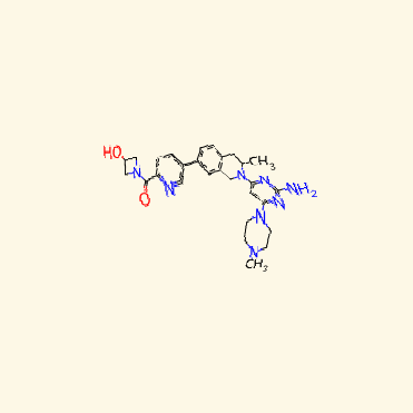 CC1Cc2ccc(-c3ccc(C(=O)N4CC(O)C4)nc3)cc2CN1c1cc(N2CCN(C)CC2)nc(N)n1